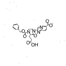 COC(=O)c1ccc2nc(N3CCN(C(=O)OCc4ccccc4)C(CCC(=O)O)C3=O)cn2c1